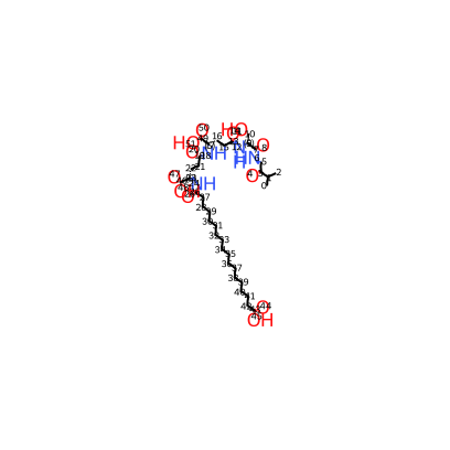 CC(C)C(=O)CNC(=O)[C@H](CO)NC(=O)CC[C@H](NC(=O)CC[C@H](NC(=O)CCCCCCCCCCCCCCCCC(=O)O)C(=O)O)C(=O)O